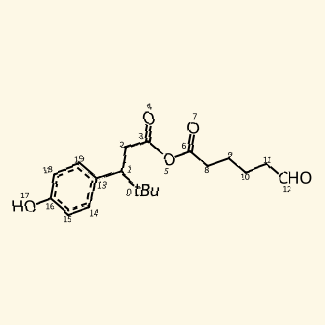 CC(C)(C)C(CC(=O)OC(=O)CCCCC=O)c1ccc(O)cc1